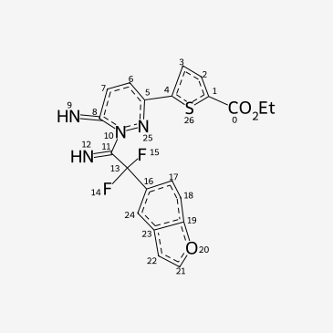 CCOC(=O)c1ccc(-c2ccc(=N)n(C(=N)C(F)(F)c3ccc4occc4c3)n2)s1